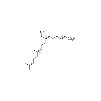 CC(C)=CCC/C(C)=C/CC/C(=C\CC/C(C)=C/C(=O)O)CO